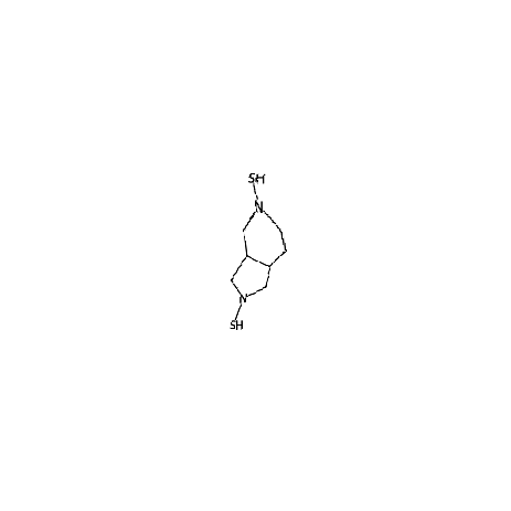 SN1CCC2CN(S)CC2C1